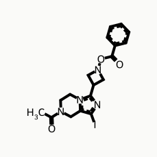 CC(=O)N1CCn2c(C3CN(OC(=O)c4ccccc4)C3)nc(I)c2C1